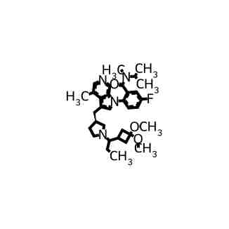 CCC(C1CC(OC)(OC)C1)N1CC[C@@H](Cc2cn(-c3ccc(F)cc3C(=O)N(C)C(C)C)c3cncc(C)c23)C1